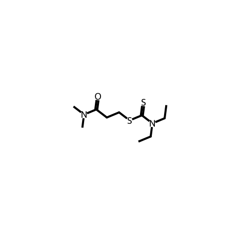 CCN(CC)C(=S)SCCC(=O)N(C)C